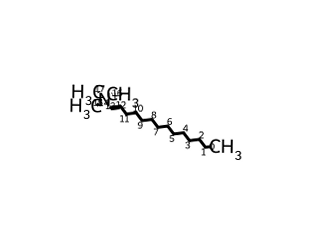 CCCCCCCCCCCCC=C[N+](C)(C)C